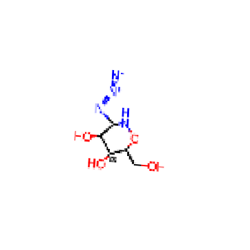 [N-]=[N+]=NC1NOC(CO)[C@@H](O)C1O